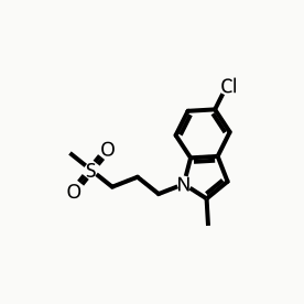 Cc1cc2cc(Cl)ccc2n1CCCS(C)(=O)=O